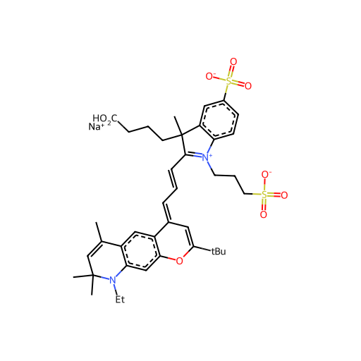 CCN1c2cc3c(cc2C(C)=CC1(C)C)C(=CC=CC1=[N+](CCCS(=O)(=O)[O-])c2ccc(S(=O)(=O)[O-])cc2C1(C)CCCC(=O)O)C=C(C(C)(C)C)O3.[Na+]